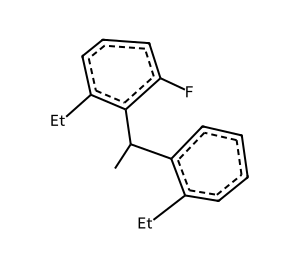 CCc1ccccc1C(C)c1c(F)cccc1CC